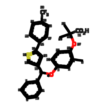 Cc1cc(OC(c2ccccc2)c2csc(-c3ccc(C(F)(F)F)cc3)c2)ccc1OC(C)(C)C(=O)O